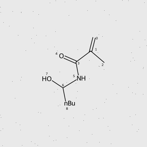 C=C(C)C(=O)NC(O)CCCC